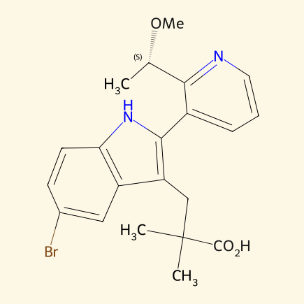 CO[C@@H](C)c1ncccc1-c1[nH]c2ccc(Br)cc2c1CC(C)(C)C(=O)O